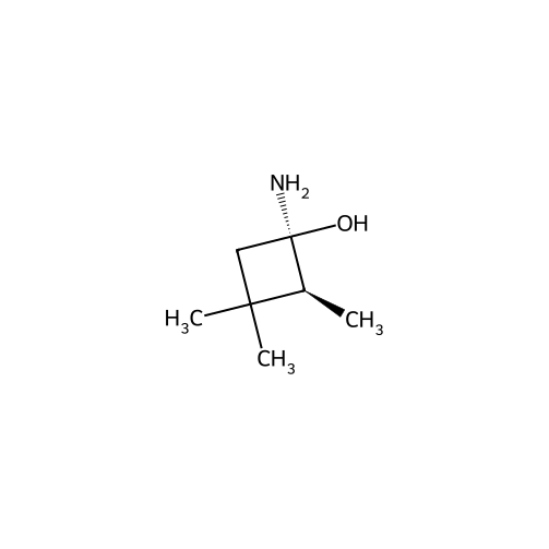 C[C@H]1C(C)(C)C[C@@]1(N)O